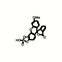 COc1ccc2c(c1)Oc1cc(OP(=O)(O)O)ccc1C21OC(=O)c2ccccc21